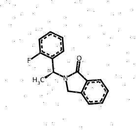 C[C@@H](c1ccccc1F)N1Cc2ccccc2C1=O